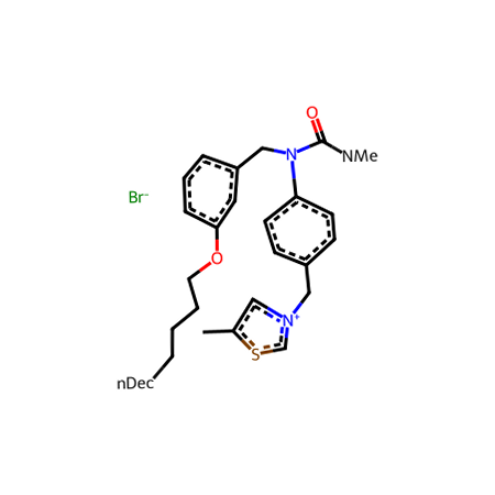 CCCCCCCCCCCCCCOc1cccc(CN(C(=O)NC)c2ccc(C[n+]3csc(C)c3)cc2)c1.[Br-]